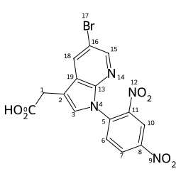 O=C(O)Cc1cn(-c2ccc([N+](=O)[O-])cc2[N+](=O)[O-])c2ncc(Br)cc12